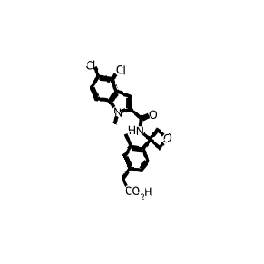 Cc1cc(CC(=O)O)ccc1C1(NC(=O)c2cc3c(Cl)c(Cl)ccc3n2C)COC1